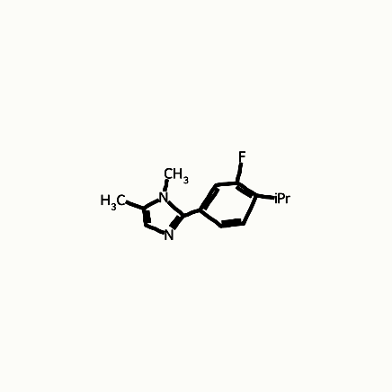 Cc1cnc(-c2ccc(C(C)C)c(F)c2)n1C